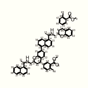 COC(=O)c1cc([C@H]2C[C@@H](CN[C@H](C)c3cccc4c(-c5ccc6c(c5)O[C@H](CN[C@H](C)c5cccc7ccccc57)C[C@H]6c5ccc(C)c(C(=O)OC)c5)cccc34)Oc3ccccc32)ccc1C